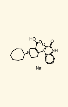 O=C(O)C1=C(n2c(=O)c(=O)[nH]c3ccccc32)CCN(C2CCCCCCC2)C1.[Na]